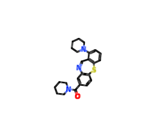 O=C(c1ccc2c(c1)N=Cc1c(cccc1N1CCCCC1)S2)N1CCCCC1